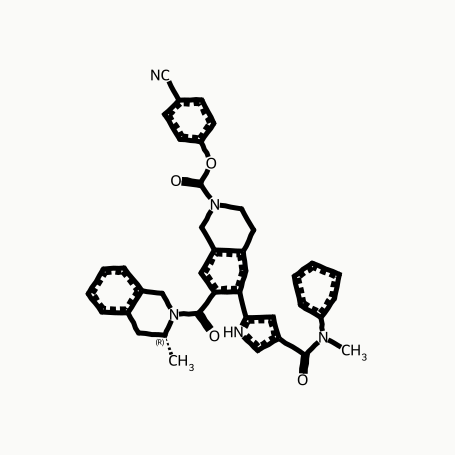 C[C@@H]1Cc2ccccc2CN1C(=O)c1cc2c(cc1-c1cc(C(=O)N(C)c3ccccc3)c[nH]1)CCN(C(=O)Oc1ccc(C#N)cc1)C2